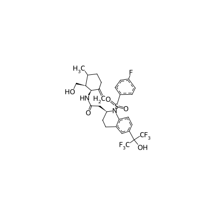 C=C1CCC(C)[C@H](CO)[C@@H]1NC(=O)C[C@@H]1CCc2cc(C(O)(C(F)(F)F)C(F)(F)F)ccc2N1S(=O)(=O)c1ccc(F)cc1